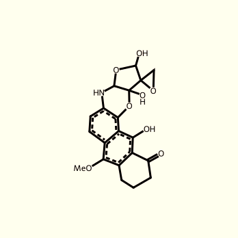 COc1c2c(c(O)c3c4c(ccc13)NC1OC(O)C3(CO3)C1(O)O4)C(=O)CCC2